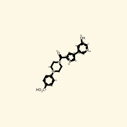 O=C(O)c1ccc(N2CCN(C(=O)c3cc(-c4cncc(O)c4)cs3)CC2)cc1